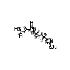 CC(C[SH](C)S)c1nc(C(C)(C)CCC(C)(C)c2cnn(C(C)(C)C)n2)n[nH]1